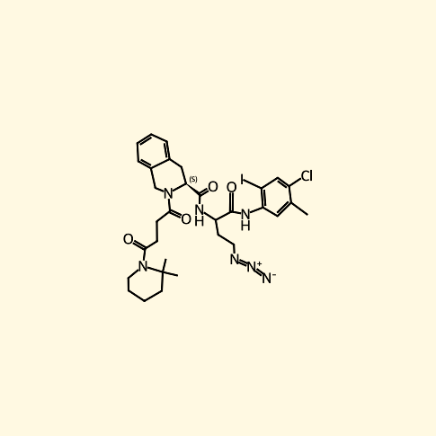 Cc1cc(NC(=O)C(CCN=[N+]=[N-])NC(=O)[C@@H]2Cc3ccccc3CN2C(=O)CCC(=O)N2CCCCC2(C)C)c(I)cc1Cl